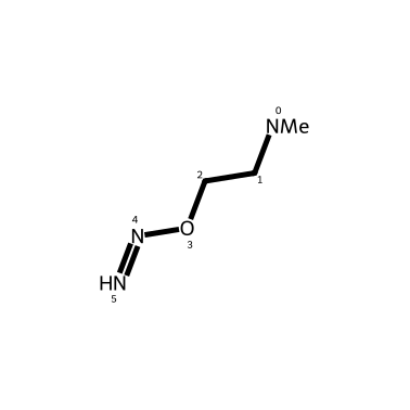 CNCCON=N